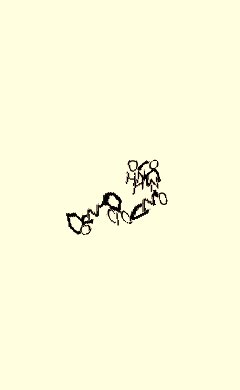 O=C1COC2CCN(C(=O)N3CC(Oc4cccc(N5CC6(CCCCO6)C5)c4Cl)C3)C[C@H]2N1